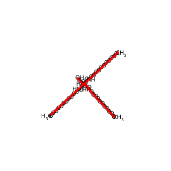 COCCOCCOCCOCCOCCOCCOCCOCCOCCOCCOCCNC(=O)CCOCC(COCCC(=O)NCCOCCOCCOCCOCCOCCOCCOCCOCCOCCOCCOC)(COCCC(=O)NCCOCCOCCOCOCCOCCOCCOCCOCCOCCOCCOC)NC(=O)CCOCCO